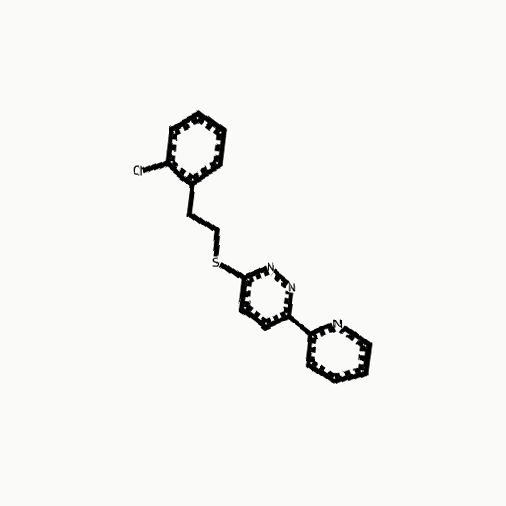 Clc1ccccc1CCSc1ccc(-c2ccccn2)nn1